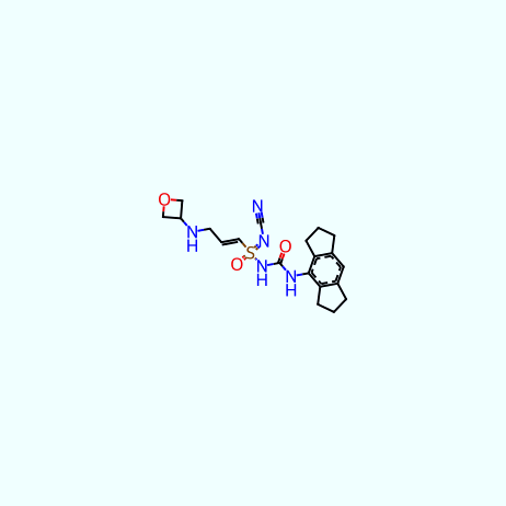 N#CN=S(=O)(/C=C/CNC1COC1)NC(=O)Nc1c2c(cc3c1CCC3)CCC2